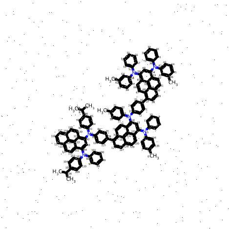 Cc1ccc(N(c2ccccc2)c2cc(N(c3ccc(C)cc3)c3ccc(-c4ccc5ccc6c(N(c7ccccc7)c7cccc(C)c7)cc(N(c7ccccc7)c7cccc(C)c7)c7ccc4c5c67)cc3)c3ccc4c(-c5ccc(N(c6ccc(C(C)C)cc6)c6cc(N(c7ccccc7)c7ccc(C(C)C)cc7)c7ccc8cccc9ccc6c7c89)cc5)ccc5ccc2c3c54)cc1